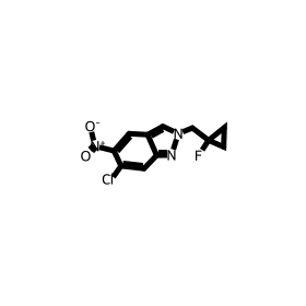 O=[N+]([O-])c1cc2cn(CC3(F)CC3)nc2cc1Cl